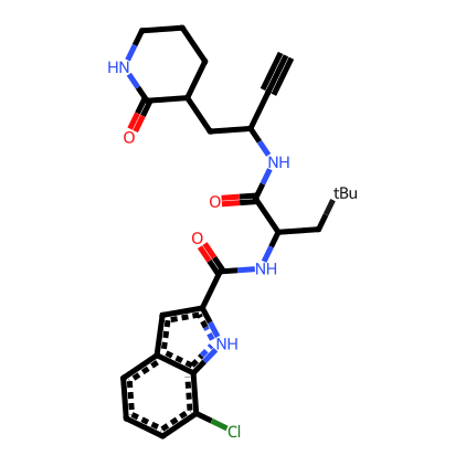 C#CC(CC1CCCNC1=O)NC(=O)C(CC(C)(C)C)NC(=O)c1cc2cccc(Cl)c2[nH]1